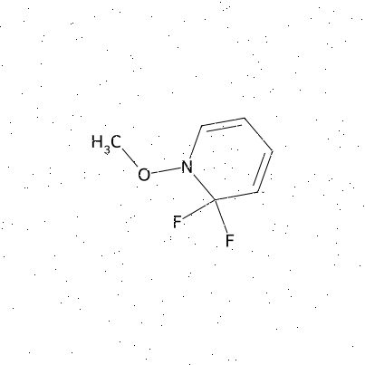 CON1C=CC=[C]C1(F)F